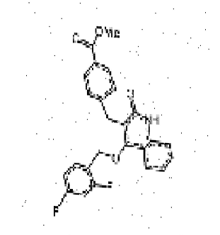 COC(=O)c1ccc(Cc2c(OCc3ccc(F)cc3F)c3ccccc3[nH]c2=O)cc1